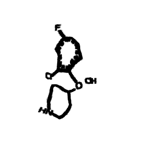 Cl.Fc1ccc(OC2CCNCC2)c(Cl)c1